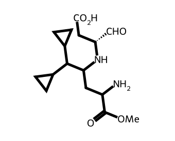 COC(=O)C(N)CC(N[C@@H](C=O)CC(=O)O)C(C1CC1)C1CC1